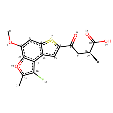 COc1cc2sc(C(=O)C[C@H](C)C(=O)O)cc2c2c(F)c(C)oc12